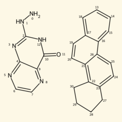 NNc1nc2nccnc2c(=O)[nH]1.c1ccc2c(c1)ccc1c3c(ccc12)CCCC3